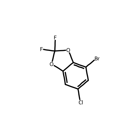 FC1(F)Oc2cc(Cl)cc(Br)c2O1